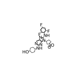 O=S1(=O)CC[C@H](n2c(Nc3c(F)cc(F)cc3F)nc3cnc(NC4CCC(O)CC4)nc32)C1